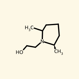 CC1CCC[C@@H](C)N1CCO